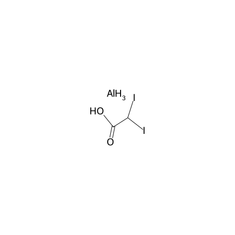 O=C(O)C(I)I.[AlH3]